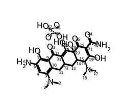 CN(C)c1cc(N)c(O)c2c1CC1CC3[C@H](N(C)C)C(O)=C(C(N)=O)C(=O)[C@@]3(O)C(O)=C1C2=O.O=S(=O)(O)O